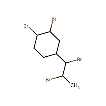 CC(Br)C(Br)C1CCC(Br)C(Br)C1